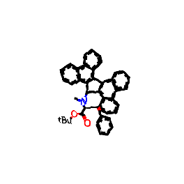 CN(C1c2c(c3ccccc3c3ccccc23)-c2c1c1ccccc1c1ccccc21)[C@@H](Cc1ccccc1)C(=O)OC(C)(C)C